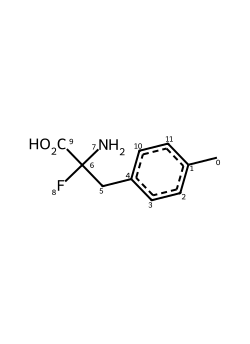 Cc1ccc(CC(N)(F)C(=O)O)cc1